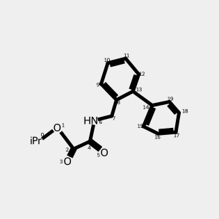 CC(C)OC(=O)C(=O)NCc1ccccc1-c1ccccc1